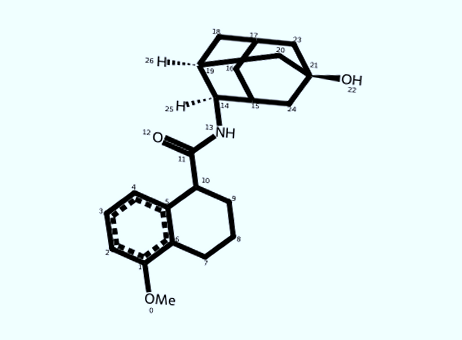 COc1cccc2c1CCCC2C(=O)N[C@@H]1C2CC3C[C@H]1C[C@](O)(C3)C2